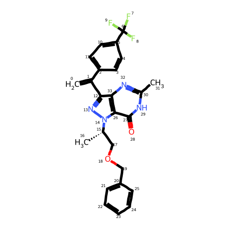 C=C(c1ccc(C(F)(F)F)cc1)c1nn([C@@H](C)COCc2ccccc2)c2c(=O)[nH]c(C)nc12